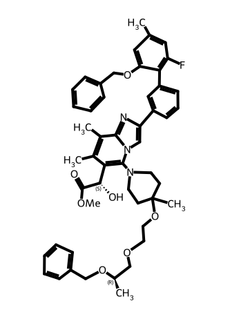 COC(=O)[C@@H](O)c1c(C)c(C)c2nc(-c3cccc(-c4c(F)cc(C)cc4OCc4ccccc4)c3)cn2c1N1CCC(C)(OCCOC[C@@H](C)OCc2ccccc2)CC1